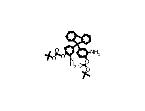 CC(C)(C)OC(=O)Oc1ccc(C2(c3ccc(OC(=O)OC(C)(C)C)c(N)c3)c3ccccc3-c3ccccc32)cc1N